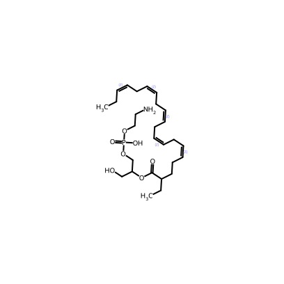 CC/C=C\C/C=C\C/C=C\C/C=C\C/C=C\CCC(CC)C(=O)OC(CO)COP(=O)(O)OCCN